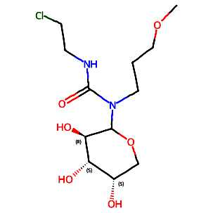 COCCCN(C(=O)NCCCl)C1OC[C@H](O)[C@H](O)[C@H]1O